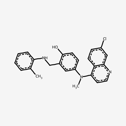 Cc1ccccc1NCc1cc(N(C)c2ccnc3cc(Cl)ccc23)ccc1O